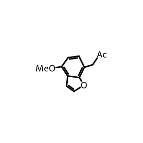 COc1ccc(CC(C)=O)c2occc12